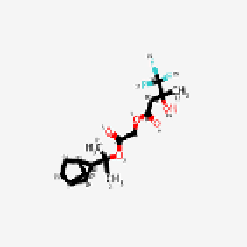 CC(C)(OC(=O)COC(=O)CC(C)(O)C(F)(F)F)C1CC2CCC1C2